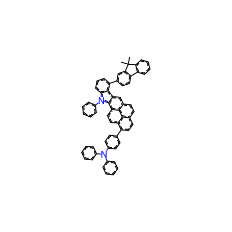 CC1(C)c2ccccc2-c2ccc(-c3cccc4c3c3cc5ccc6ccc(-c7ccc(N(c8ccccc8)c8ccccc8)cc7)c7ccc(c5c67)c3n4-c3ccccc3)cc21